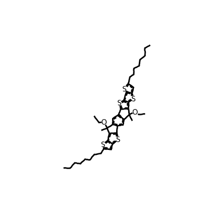 CCCCCCCCc1cc2sc3c(c2s1)C(C)(OCC)c1cc2c(cc1-3)C(C)(OCC)c1c-2sc2c1sc1cc(CCCCCCCC)sc12